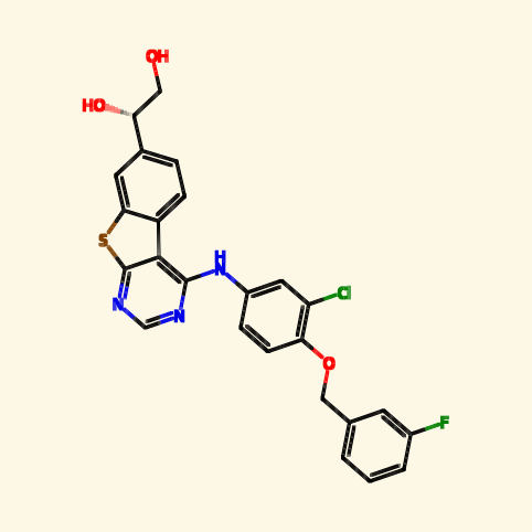 OC[C@@H](O)c1ccc2c(c1)sc1ncnc(Nc3ccc(OCc4cccc(F)c4)c(Cl)c3)c12